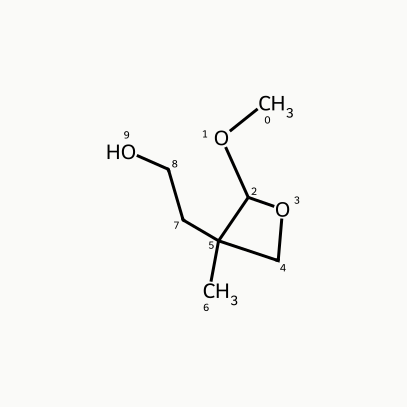 COC1OCC1(C)CCO